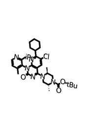 Cc1ccnc(C(C)C)c1-n1c(=O)nc(N2C[C@@H](C)N(C(=O)OC(C)(C)C)C[C@@H]2C)c2cc(Cl)c(C3CCCCC3)nc21